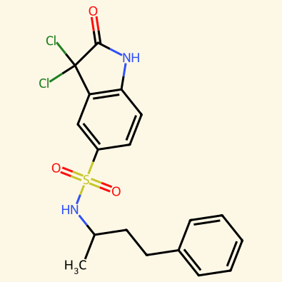 CC(CCc1ccccc1)NS(=O)(=O)c1ccc2c(c1)C(Cl)(Cl)C(=O)N2